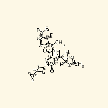 C[C@@H](NC(=O)c1cn([C@H]2C[C@H](C3CC3)C2)c(=O)cc1N[C@H]1[C@@H]2CN(C)C[C@@H]21)c1cccc(C(F)F)c1F